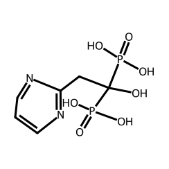 O=P(O)(O)C(O)(Cc1ncccn1)P(=O)(O)O